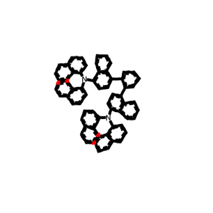 c1ccc(-c2ccc(N(c3cccc4ccccc34)c3cccc4ccccc34)c3ccccc23)c(-c2ccc(N(c3cccc4ccccc34)c3cccc4ccccc34)c3ccccc23)c1